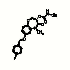 CN1C(=O)[C@@H](OC(=O)NC(C)(C)C)COc2ccc(OCc3ccc(F)cc3)cc21